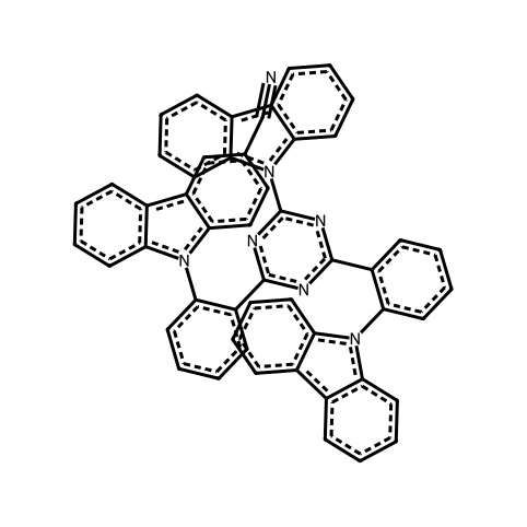 N#Cc1ccc2c(c1)c1ccccc1n2-c1ccccc1-c1nc(-c2ccccc2-n2c3ccccc3c3ccccc32)nc(-n2c3ccccc3c3ccccc32)n1